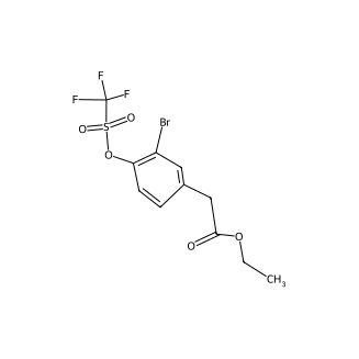 CCOC(=O)Cc1ccc(OS(=O)(=O)C(F)(F)F)c(Br)c1